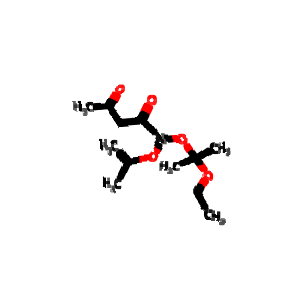 CCOC(C)(C)[O][Al]([O]C(C)C)[C](=O)CC(C)=O